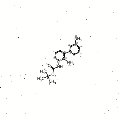 CC(C)(C)OC(=O)Nc1cccc(-c2cccc(N)c2)c1N